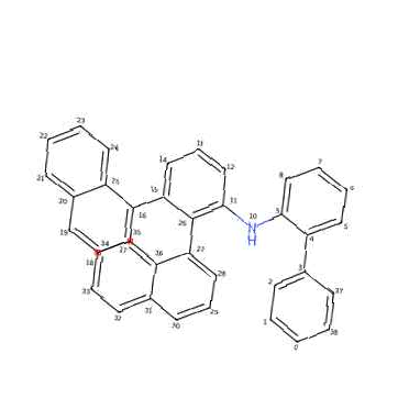 c1ccc(-c2ccccc2Nc2cccc(-c3cccc4ccccc34)c2-c2cccc3ccccc23)cc1